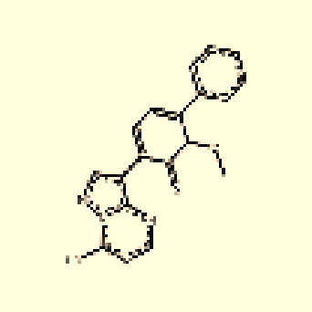 COC1C(=S)C(c2cnn3c(O)ncnc23)=CC=C1c1ccccc1